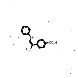 C/C(=C/Nc1ccccc1)c1ccc(C(=O)O)cc1